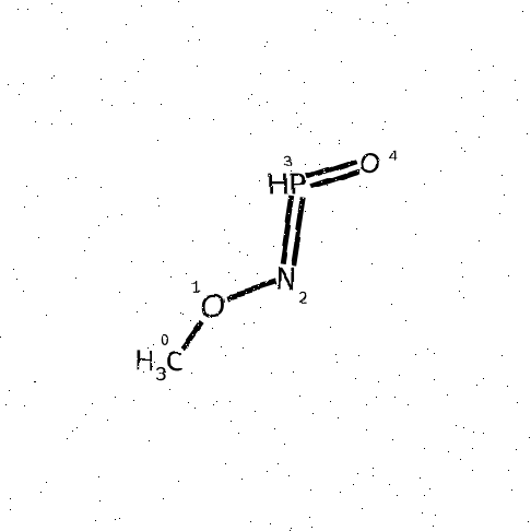 CON=[PH]=O